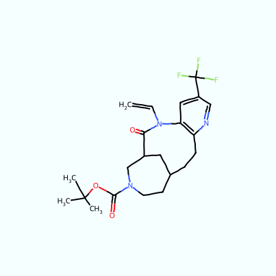 C=CN1C(=O)C2CC(CCc3ncc(C(F)(F)F)cc31)CCN(C(=O)OC(C)(C)C)C2